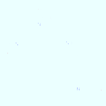 COc1cncc(-c2cccc(CNCCC3CN(c4ccc5c(c4)NC(=O)CS5)C(=O)O3)c2)c1